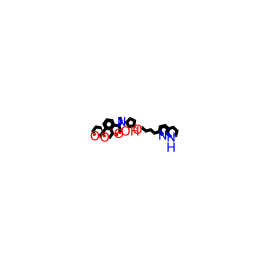 C[C@@H]1CO[C@@]2(CCCOC2)c2cccc(C(C(=O)O)N(C)[C@H]3CC[C@H](OCCCCc4ccc5c(n4)NCCC5)C3)c21